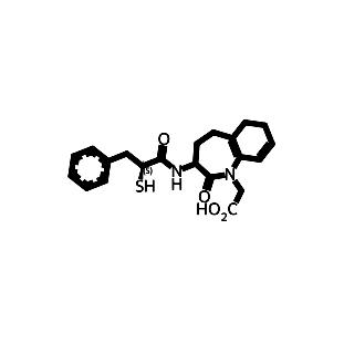 O=C(O)CN1C(=O)C(NC(=O)[C@@H](S)Cc2ccccc2)CCC2=C1C=CCC2